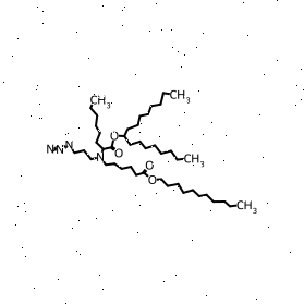 CCCCCCCCCCCOC(=O)CCCCCN(CCCN=[N+]=[N-])C(CCCCCC)C(=O)OC(CCCCCCCC)CCCCCCCC